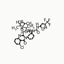 CC(C)[Si](O[C@@H](C)c1nc2cccc(Cl)c2c(=O)n1-c1cccc(NC(=O)Nc2cc(C(F)(F)F)no2)c1)(C(C)C)C(C)C